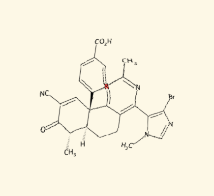 Cc1nc(-c2c(Br)ncn2C)c2c(n1)[C@@]1(c3ccc(C(=O)O)cc3)C=C(C#N)C(=O)[C@@H](C)[C@@H]1CC2